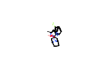 Cc1cc(C)nc(N2C3CCC2CC(O)(c2cccc(F)c2)C3)n1